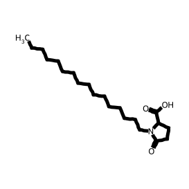 CCCCCCCCCCCCCCCCN1C(=O)CCC1C(=O)O